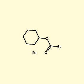 CCC(=O)OC1CCCCC1.[Ru]